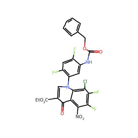 CCOC(=O)c1cn(-c2cc(NC(=O)OCc3ccccc3)c(F)cc2F)c2c(Cl)c(F)c(F)c([N+](=O)[O-])c2c1=O